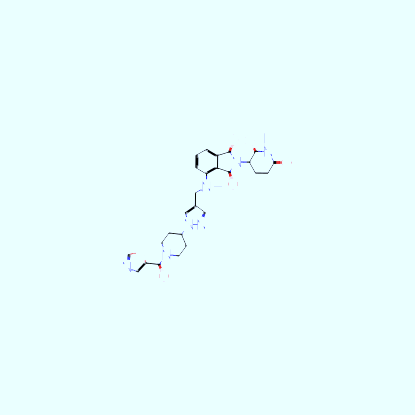 O=C1CCC(N2C(=O)c3cccc(NCc4cnn(C5CCN(C(=O)c6cnco6)CC5)c4)c3C2=O)C(=O)N1